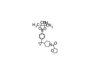 CC1(C)OB(c2ccc(C3(C4CCN(C(=O)C5CCCO5)CC4)CC3)cc2)OC1(C)C